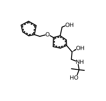 CC(C)(O)NC[C@H](O)c1ccc(OCc2ccccc2)c(CO)c1